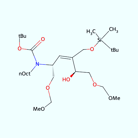 CCCCCCCCN(C(=O)OC(C)(C)C)[C@H](/C=C(/CO[Si](C)(C)C(C)(C)C)[C@H](O)COCOC)COCOC